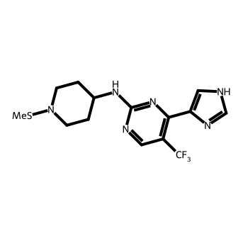 CSN1CCC(Nc2ncc(C(F)(F)F)c(-c3c[nH]cn3)n2)CC1